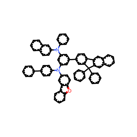 c1ccc(-c2ccc(N(c3cc(-c4ccc5c(c4)C(c4ccccc4)(c4ccccc4)c4cc6ccccc6cc4-5)cc(N(c4ccccc4)c4ccc5ccccc5c4)c3)c3ccc4oc5ccccc5c4c3)cc2)cc1